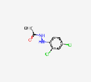 O=CC(=O)NNc1ccc(Cl)cc1Cl